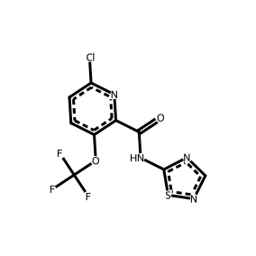 O=C(Nc1ncns1)c1nc(Cl)ccc1OC(F)(F)F